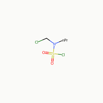 CCCN(CCl)S(=O)(=O)Cl